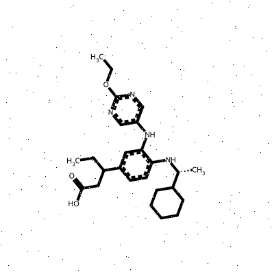 CCOc1ncc(Nc2cc(C(CC)CC(=O)O)ccc2N[C@H](C)C2CCCCC2)cn1